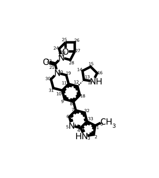 Cc1c[nH]c2ncc(-c3cc4c(c([C@@H]5CCCN5)c3)CN(C(=O)N3CC5CC(C3)O5)CC4)cc12